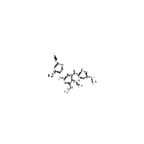 CNc1nc(Oc2cnc(C#N)cc2C)cc(Nc2ccc(SC)cn2)c1NN